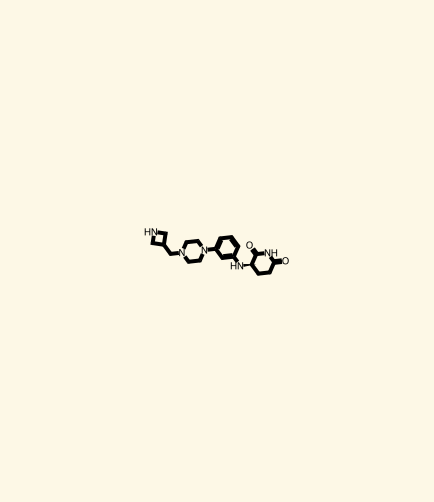 O=C1CC[C@@H](Nc2cccc(N3CCN(CC4CNC4)CC3)c2)C(=O)N1